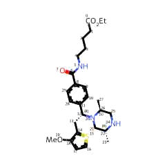 CCOC(=O)CCCCNC(=O)c1ccc([C@@H](Cc2sccc2OC)N2C[C@@H](C)NC[C@@H]2C)cc1